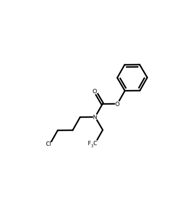 O=C(Oc1ccccc1)N(CCCCl)CC(F)(F)F